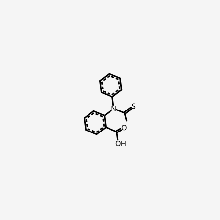 CC(=S)N(c1ccccc1)c1ccccc1C(=O)O